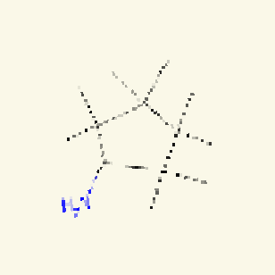 CC1(C)C(N)C(C)(C)C(C)(C)C1(C)C